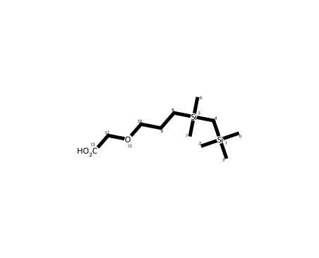 C[Si](C)(C)C[Si](C)(C)CCCOCC(=O)O